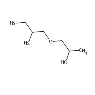 CC(O)COCC(S)CS